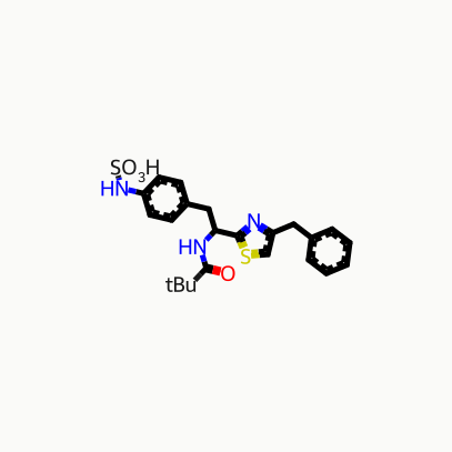 CC(C)(C)C(=O)NC(Cc1ccc(NS(=O)(=O)O)cc1)c1nc(Cc2ccccc2)cs1